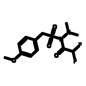 COc1ccc(CS(=O)(=O)N(C(=O)C(F)F)N(C)C)cc1